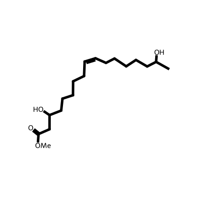 COC(=O)CC(O)CCCCC/C=C\CCCCCC(C)O